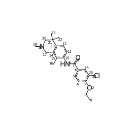 CCOc1ccc(C(=O)Nc2ccc3c(c2C)CN(C)CC3(C)C)cc1Cl